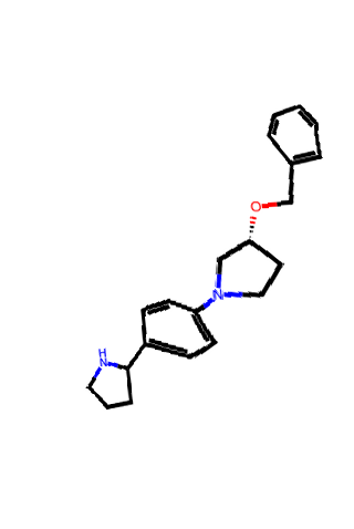 c1ccc(CO[C@@H]2CCN(c3ccc(C4CCCN4)cc3)C2)cc1